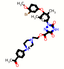 COc1ccc(Oc2c(C)cc(-n3nc(C(=O)OCCN4CCN(c5ccc(C(C)=O)cc5)CC4)c(=O)[nH]c3=O)cc2C)cc1Br